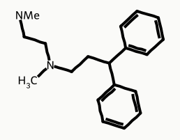 CNCCN(C)CCC(c1ccccc1)c1ccccc1